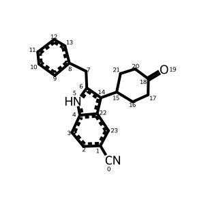 N#Cc1ccc2[nH]c(Cc3ccccc3)c(C3CCC(=O)CC3)c2c1